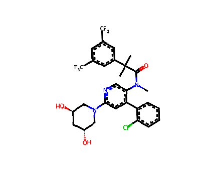 CN(C(=O)C(C)(C)c1cc(C(F)(F)F)cc(C(F)(F)F)c1)c1cnc(N2C[C@H](O)C[C@@H](O)C2)cc1-c1ccccc1Cl